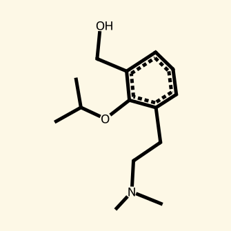 CC(C)Oc1c(CO)cccc1CCN(C)C